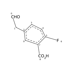 O=CCc1ccc(F)c(C(=O)O)c1